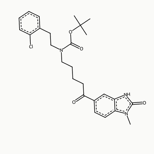 Cn1c(=O)[nH]c2cc(C(=O)CCCCN(CCc3ccccc3Cl)C(=O)OC(C)(C)C)ccc21